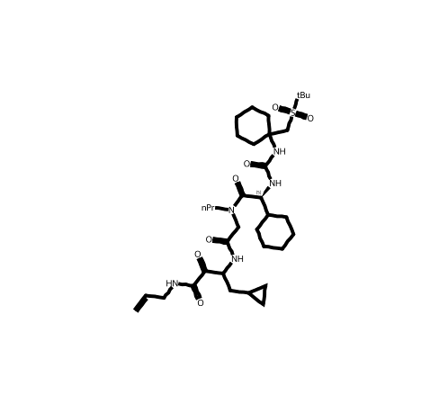 C=CCNC(=O)C(=O)C(CC1CC1)NC(=O)CN(CCC)C(=O)[C@@H](NC(=O)NC1(CS(=O)(=O)C(C)(C)C)CCCCC1)C1CCCCC1